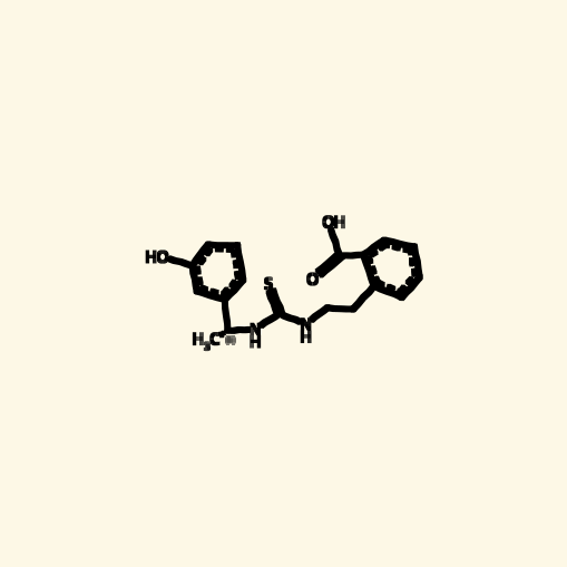 C[C@@H](NC(=S)NCCc1ccccc1C(=O)O)c1cccc(O)c1